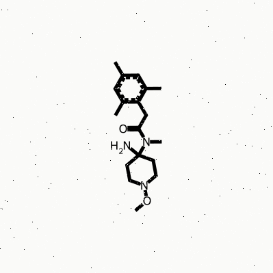 CON1CCC(N)(N(C)C(=O)Cc2c(C)cc(C)cc2C)CC1